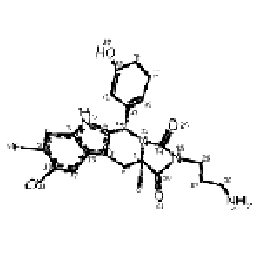 C[C@@]12Cc3c([nH]c4cc(F)c(Cl)cc34)[C@@H](C3=CCCC(O)=C3)N1C(=O)N(CCCN)C2=O